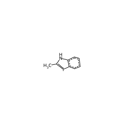 CC1=Ic2ccccc2N1